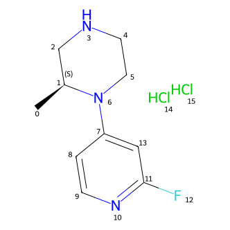 C[C@H]1CNCCN1c1ccnc(F)c1.Cl.Cl